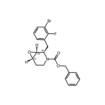 O=C(OCc1ccccc1)N1CC[C@@H]2O[C@@H]2[C@H]1Cc1cccc(Br)c1F